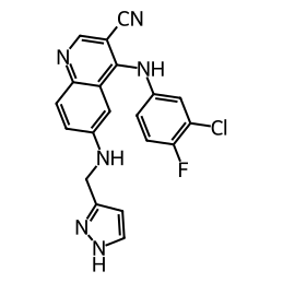 N#Cc1cnc2ccc(NCc3cc[nH]n3)cc2c1Nc1ccc(F)c(Cl)c1